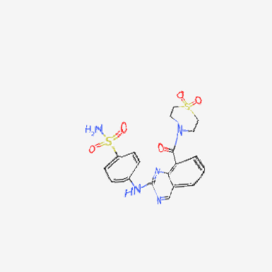 NS(=O)(=O)c1ccc(Nc2ncc3cccc(C(=O)N4CCS(=O)(=O)CC4)c3n2)cc1